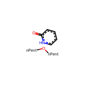 CCCCCOCCCCC.O=c1cccc[nH]1